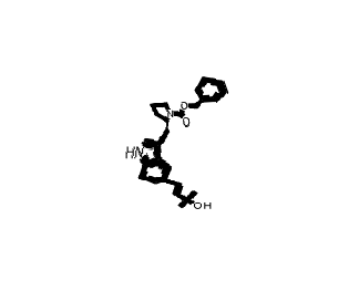 CC(C)(O)/C=C/c1ccc2[nH]cc(C[C@H]3CCCN3C(=O)OCc3ccccc3)c2c1